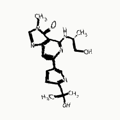 C[C@H](CO)Nc1nc(-c2ccc(C(C)(C)O)nc2)cc2ncn(C)c(=O)c12